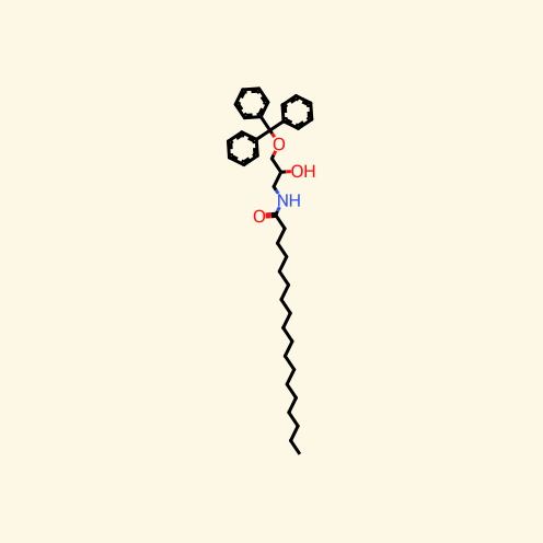 CCCCCCCCCCCCCCCCCC(=O)NCC(O)COC(c1ccccc1)(c1ccccc1)c1ccccc1